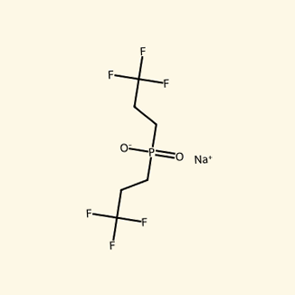 O=P([O-])(CCC(F)(F)F)CCC(F)(F)F.[Na+]